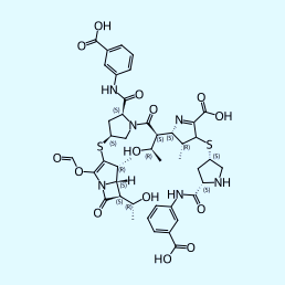 C[C@@H](O)[C@@H](C(=O)N1C[C@@H](SC2=C(OC=O)N3C(=O)[C@H]([C@@H](C)O)[C@H]3[C@H]2C)C[C@H]1C(=O)Nc1cccc(C(=O)O)c1)[C@@H]1N=C(C(=O)O)C(S[C@@H]2CN[C@H](C(=O)Nc3cccc(C(=O)O)c3)C2)[C@@H]1C